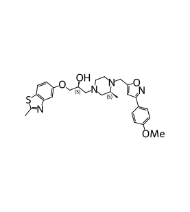 COc1ccc(-c2cc(CN3CCN(C[C@H](O)COc4ccc5sc(C)nc5c4)C[C@@H]3C)on2)cc1